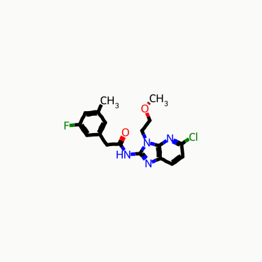 COCCn1c(NC(=O)Cc2cc(C)cc(F)c2)nc2ccc(Cl)nc21